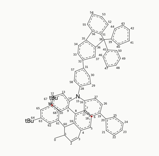 CC1C=Cc2cccc(-c3ccccc3N(c3ccc(-c4ccccc4)cc3)c3ccc(-c4ccc5c(c4)C(c4ccccc4)(c4ccccc4)c4ccccc4-5)cc3)c2C1c1cc(C(C)(C)C)cc(C(C)(C)C)c1